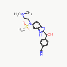 CN(C)CCN(c1ccc2nc(C(O)c3ccc(C#N)cc3)[nH]c2c1)S(C)(=O)=O